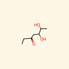 CCC(=O)CC(O)C(C)O